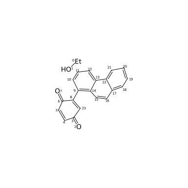 CCO.O=C1C=CC(=O)C(c2cccc3c2ccc2ccccc23)=C1